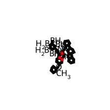 Bc1c(B)c(B)c(-c2nc(-c3ccc(Oc4ccccc4C)cc3)nc(-n3c4ccccc4c4ccc5c6ccccc6n(-c6ccccc6)c5c43)n2)c(B)c1B